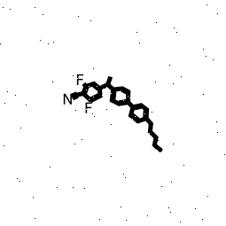 CCCCCc1ccc(-c2ccc(C(C)c3cc(F)c(C#N)c(F)c3)cc2)cc1